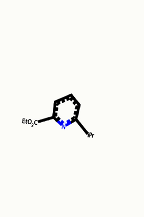 CCOC(=O)c1cccc(C(C)C)n1